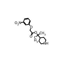 CC(C)(OC(=O)COc1cccc([N+](=O)[O-])c1)C1CCNCC1